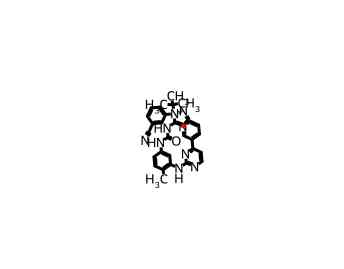 Cc1ccc(NC(=O)NC2=CC=N[N+]2(c2cccc(C#N)c2)C(C)(C)C)cc1Nc1nccc(-c2cccnc2)n1